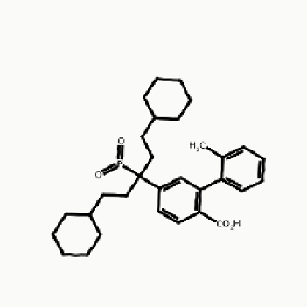 Cc1ccccc1-c1cc(C(CCC2CCCCC2)(CCC2CCCCC2)P(=O)=O)ccc1C(=O)O